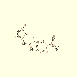 Cc1nnc(Sc2nc3ccc([N+](=O)[O-])cc3s2)s1